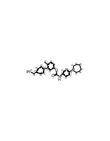 Cc1ccc(OC(=O)Nc2ccc(N3CCCCCC3)nc2)cc1-c1ccc(CC(C)C)cc1